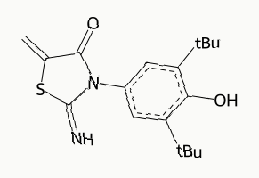 C=C1SC(=N)N(c2cc(C(C)(C)C)c(O)c(C(C)(C)C)c2)C1=O